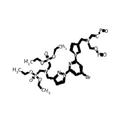 CCOP(=O)(CN(Cc1ccn(-c2cc(Br)cc(-n3ccc(CN(COP=O)COP=O)c3)n2)n1)CP(=O)(OCC)OCC)OCC